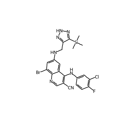 C[Si](C)(C)c1n[nH]nc1CNc1cc(Br)c2ncc(C#N)c(Nc3ccc(F)c(Cl)c3)c2c1